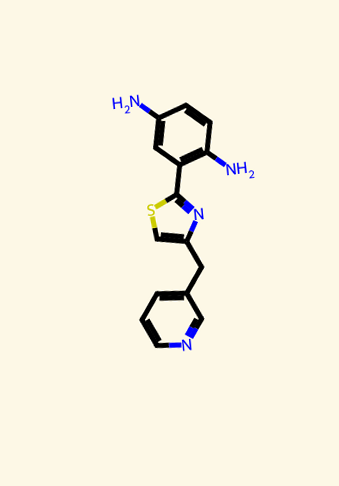 Nc1ccc(N)c(-c2nc(Cc3cccnc3)cs2)c1